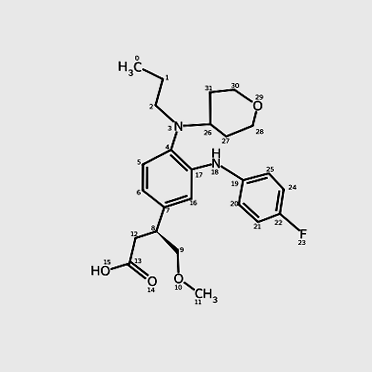 CCCN(c1ccc([C@@H](COC)CC(=O)O)cc1Nc1ccc(F)cc1)C1CCOCC1